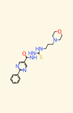 O=C(NNC(=S)NCCCN1CCOCC1)c1cnc(-c2ccccc2)nc1